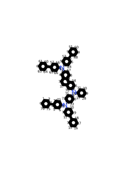 c1ccc(-c2ccc(N(c3ccc(-c4ccccc4)cc3)c3ccc(N(c4ccccc4)c4ccc5c(ccc6cc(N(c7ccc(-c8ccccc8)cc7)c7ccc(-c8ccccc8)cc7)ccc65)c4)cc3)cc2)cc1